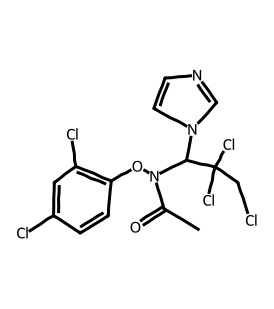 CC(=O)N(Oc1ccc(Cl)cc1Cl)C(n1ccnc1)C(Cl)(Cl)CCl